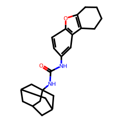 O=C(Nc1ccc2oc3c(c2c1)CCCC3)NC12CC3CC(CC(C3)C1)C2